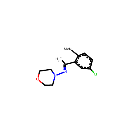 CNc1ccc(Cl)cc1/C(C)=N/N1CCOCC1